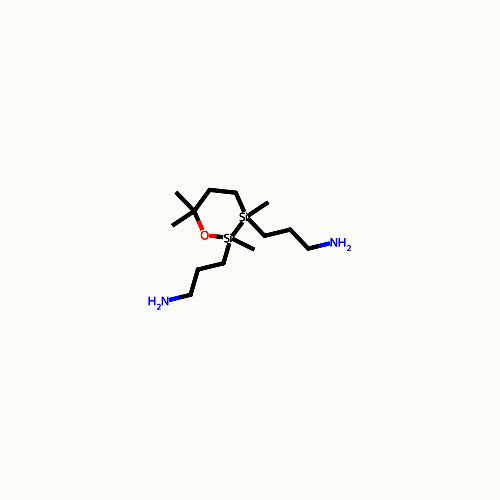 CC1(C)CC[Si](C)(CCCN)[Si](C)(CCCN)O1